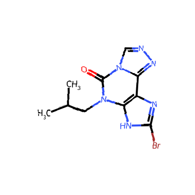 CC(C)Cn1c(=O)n2cnnc2c2nc(Br)[nH]c21